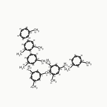 Cc1cc(C)cc(C)c1.Cc1cc(C)cc(C)c1.Cc1cccc(C)c1.Cc1cccc(C)c1.Cc1cccc(C)c1.Cc1ccccc1